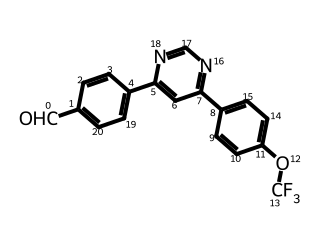 O=Cc1ccc(-c2cc(-c3ccc(OC(F)(F)F)cc3)ncn2)cc1